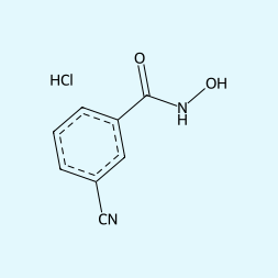 Cl.N#Cc1cccc(C(=O)NO)c1